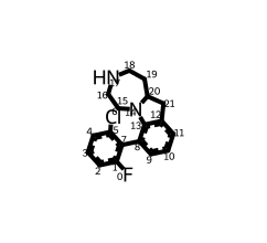 Fc1cccc(Cl)c1-c1cccc2c1N1CCNCCC1C2